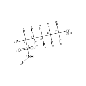 O=S(=O)(NF)C(F)(F)C(F)(F)C(F)(F)C(F)(F)C(F)(F)C(F)(F)F